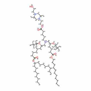 CCCCCCCCCCCOC(=O)CCCC(CN(CCCCC(=O)OCCN1CC(C)N(CCO)CC1C)CC(CCCCCC(=O)OC(CCCCCCCC)CCCCCCCC)O[Si](C)(C)C(C)(C)C)O[Si](C)(C)C(C)(C)C